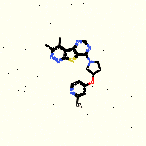 Cc1nnc2sc3c(N4CC[C@@H](Oc5ccnc(C(F)(F)F)c5)C4)ncnc3c2c1C